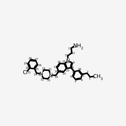 CCCc1cccc(-c2cn(CCCN)c3ccc(CN4CCN(Cc5ccccc5Cl)CC4)cc23)c1